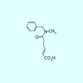 CN(Cc1ccccc1)C(=O)CC/C=C/C(=O)O